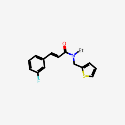 CCN(Cc1cccs1)C(=O)C=Cc1cccc(F)c1